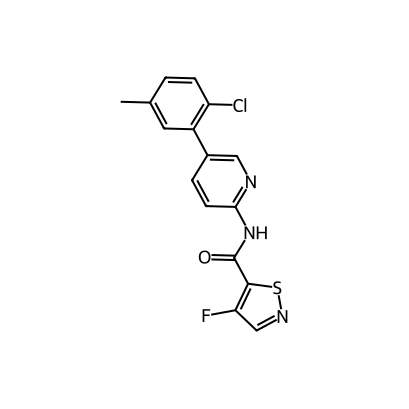 Cc1ccc(Cl)c(-c2ccc(NC(=O)c3sncc3F)nc2)c1